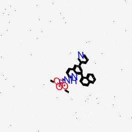 CCOP(=O)(CNc1ccc2cc(-c3cccnc3)cc(-c3cccc4ccccc34)c2n1)OCC